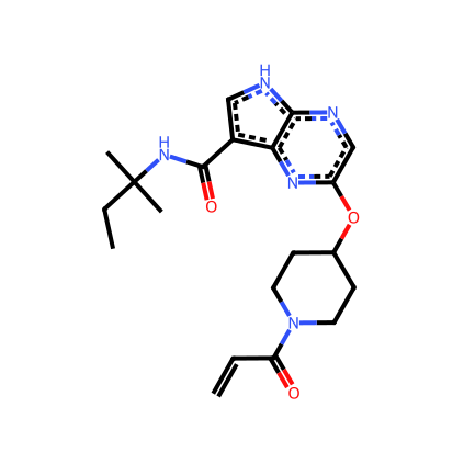 C=CC(=O)N1CCC(Oc2cnc3[nH]cc(C(=O)NC(C)(C)CC)c3n2)CC1